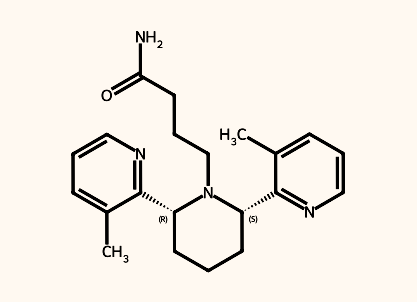 Cc1cccnc1[C@H]1CCC[C@@H](c2ncccc2C)N1CCCC(N)=O